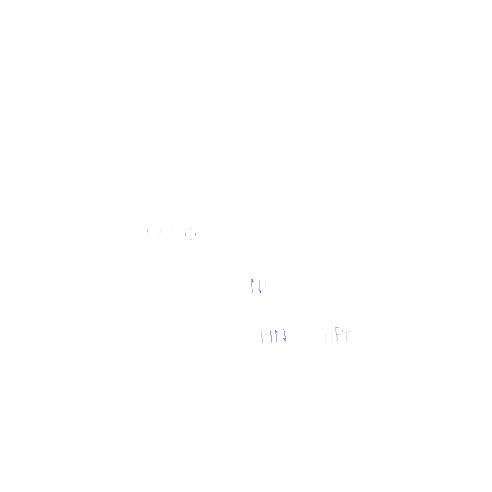 CC=C(C)C(=O)[N+](C)(C)NCCC.[Cl-]